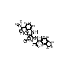 C=C(C)C(Nc1n[s+]([O-])nc1Nc1cccc(C(=O)N(C)C)c1O)c1ccc2c(c1)CCC2